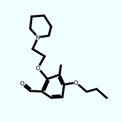 CCCOc1ccc(C=O)c(OCCN2CCCCC2)c1C